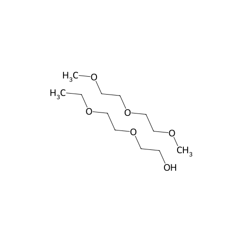 CCOCCOCCO.COCCOCCOC